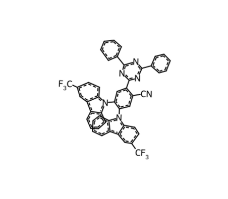 N#Cc1cc(-n2c3ccccc3c3cc(C(F)(F)F)ccc32)c(-n2c3ccccc3c3cc(C(F)(F)F)ccc32)cc1-c1nc(-c2ccccc2)nc(-c2ccccc2)n1